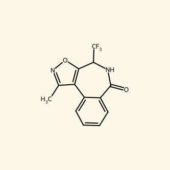 Cc1noc2c1-c1ccccc1C(=O)NC2C(F)(F)F